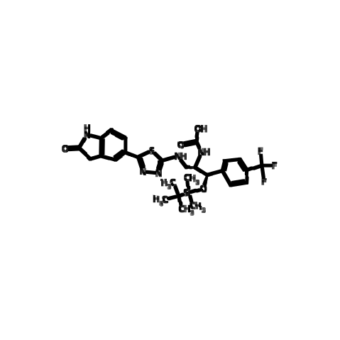 CC(C)(C)[Si](C)(C)O[C@H](c1ccc(C(F)(F)F)cc1)[C@@H](CNc1nnc(-c2ccc3c(c2)CC(=O)N3)s1)NC(=O)O